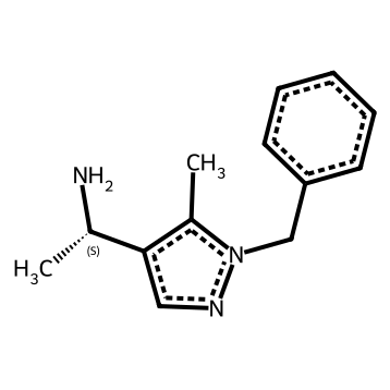 Cc1c([C@H](C)N)cnn1Cc1ccccc1